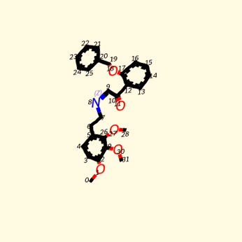 COc1ccc(CC/N=C\C(=O)c2ccccc2OCc2ccccc2)c(OC)c1OC